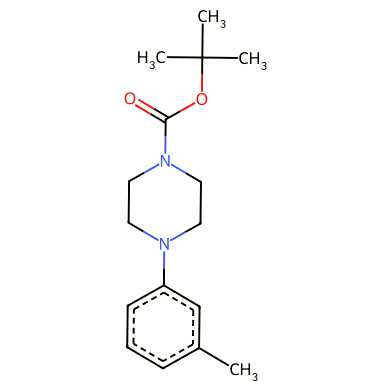 Cc1cccc(N2CCN(C(=O)OC(C)(C)C)CC2)c1